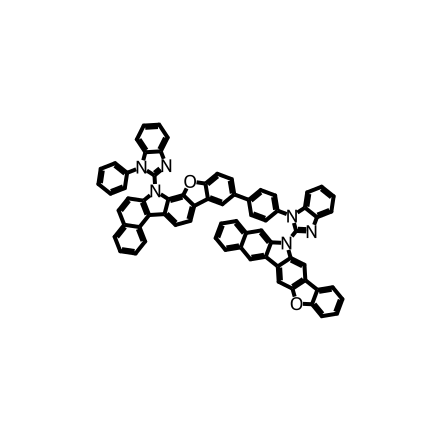 c1ccc(-n2c(-n3c4ccc5ccccc5c4c4ccc5c6cc(-c7ccc(-n8c(-n9c%10cc%11ccccc%11cc%10c%10cc%11oc%12ccccc%12c%11cc%109)nc9ccccc98)cc7)ccc6oc5c43)nc3ccccc32)cc1